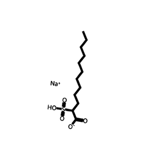 CCCCCCCCCCC(C(=O)[O-])S(=O)(=O)O.[Na+]